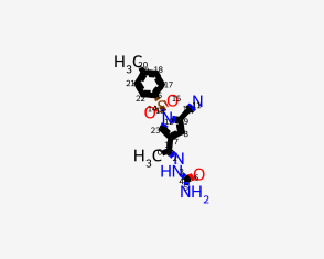 CC(=NNC(N)=O)c1cc(C#N)n(S(=O)(=O)c2ccc(C)cc2)c1